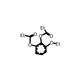 CCOc1cccc(OC(=O)CC)c1OC(=O)CC